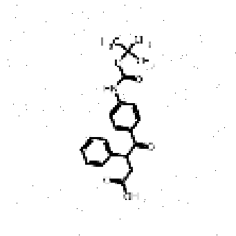 CC(C)(C)OC(=O)Nc1ccc(C(=O)C(CC(=O)O)c2ccccc2)cc1